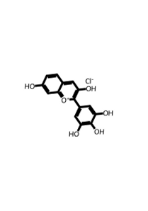 Oc1ccc2cc(O)c(-c3cc(O)c(O)c(O)c3)[o+]c2c1.[Cl-]